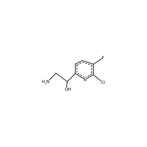 NCC(O)c1ccc(F)c(Cl)n1